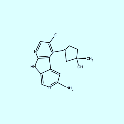 C[C@]1(O)CCN(c2c(Cl)cnc3[nH]c4cnc(N)cc4c23)C1